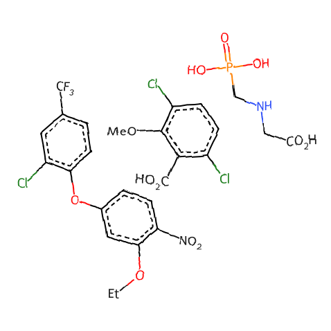 CCOc1cc(Oc2ccc(C(F)(F)F)cc2Cl)ccc1[N+](=O)[O-].COc1c(Cl)ccc(Cl)c1C(=O)O.O=C(O)CNCP(=O)(O)O